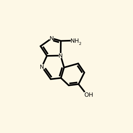 Nc1ncc2ncc3cc(O)ccc3n12